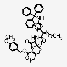 CO/N=C(\C(=O)N[C@@H]1C(=O)N2C(C(=O)OCc3ccc(OC)cc3)=C(CI)CS[C@@H]12)c1nsc(NC(c2ccccc2)(c2ccccc2)c2ccccc2)n1